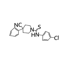 N#CC1(c2ccccc2)CCN(C(=S)Nc2ccc(Cl)cc2)CC1